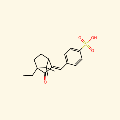 CCC12CCC(C(=Cc3ccc(S(=O)(=O)O)cc3)C1=O)C2(C)C